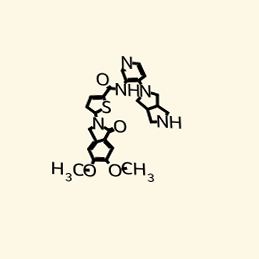 COc1cc2c(cc1OC)C(=O)N(C1CC=C(C(=O)Nc3cnccc3N3CC4CNCC4C3)S1)C2